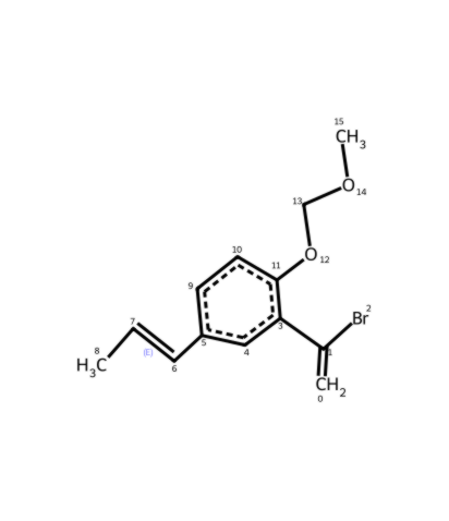 C=C(Br)c1cc(/C=C/C)ccc1OCOC